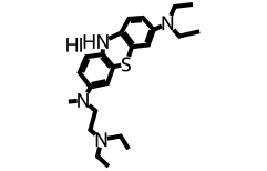 CCN(CC)CCN(C)c1ccc2c(c1)Sc1cc(N(CC)CC)ccc1N2.I